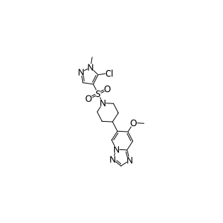 COc1cc2ncnn2cc1C1CCN(S(=O)(=O)c2cnn(C)c2Cl)CC1